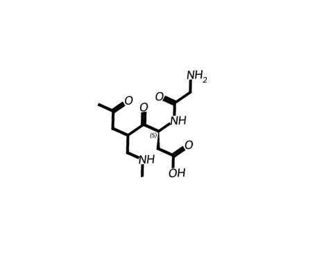 CNCC(CC(C)=O)C(=O)[C@H](CC(=O)O)NC(=O)CN